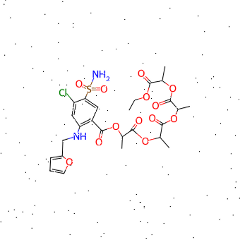 CCOC(=O)C(C)OC(=O)C(C)OC(=O)C(C)OC(=O)C(C)OC(=O)c1cc(S(N)(=O)=O)c(Cl)cc1NCc1ccco1